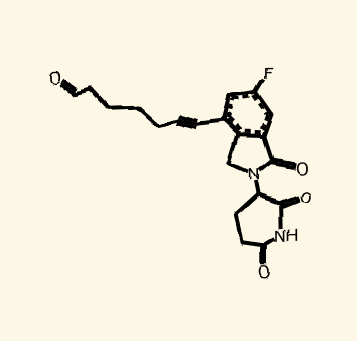 O=CCCCCC#Cc1cc(F)cc2c1CN(C1CCC(=O)NC1=O)C2=O